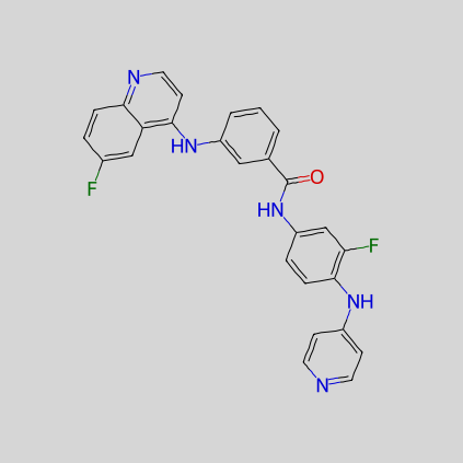 O=C(Nc1ccc(Nc2ccncc2)c(F)c1)c1cccc(Nc2ccnc3ccc(F)cc23)c1